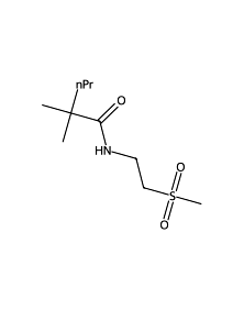 CCCC(C)(C)C(=O)NCCS(C)(=O)=O